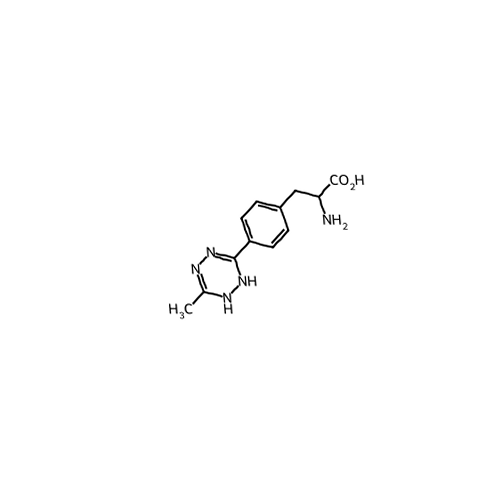 CC1=NN=C(c2ccc(CC(N)C(=O)O)cc2)NN1